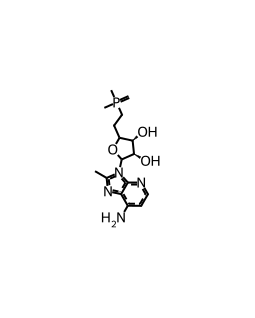 C=P(C)(C)CCC1OC(n2c(C)nc3c(N)ccnc32)[C@H](O)[C@@H]1O